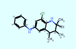 CCC1(C)Nc2c(Cl)cc(Nc3ccccc3)cc2C(C)C1C